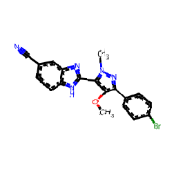 COc1c(-c2ccc(Br)cc2)nn(C)c1-c1nc2cc(C#N)ccc2[nH]1